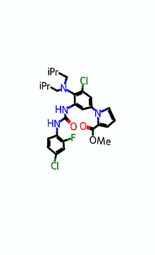 COC(=O)c1cccn1-c1cc(Cl)c(N(CC(C)C)CC(C)C)c(NC(=O)Nc2ccc(Cl)cc2F)c1